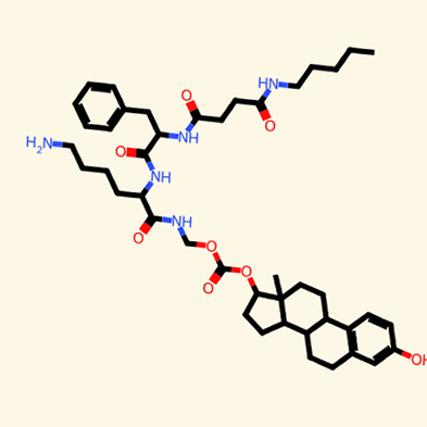 CCCCCNC(=O)CCC(=O)NC(Cc1ccccc1)C(=O)NC(CCCCN)C(=O)NCOC(=O)OC1CCC2C3CCc4cc(O)ccc4C3CCC12C